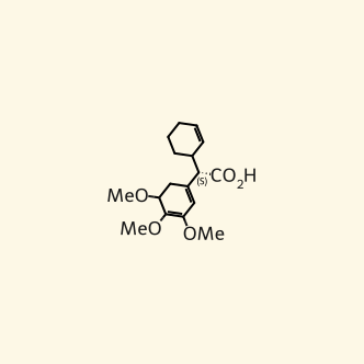 COC1=C(OC)C(OC)CC([C@@H](C(=O)O)C2C=CCCC2)=C1